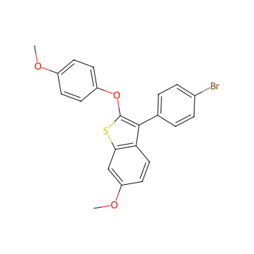 COc1ccc(Oc2sc3cc(OC)ccc3c2-c2ccc(Br)cc2)cc1